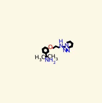 CC(C)(N)c1cccc(OCCCNc2nnc3ccccn23)c1